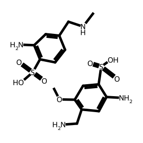 CNCc1ccc(S(=O)(=O)O)c(N)c1.COc1cc(S(=O)(=O)O)c(N)cc1CN